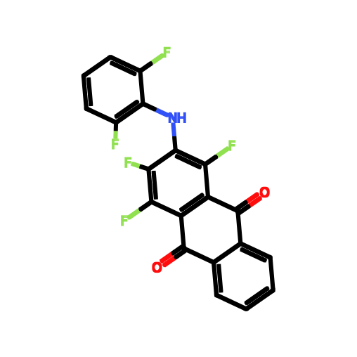 O=C1c2ccccc2C(=O)c2c(F)c(Nc3c(F)cccc3F)c(F)c(F)c21